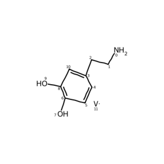 NCCc1ccc(O)c(O)c1.[V]